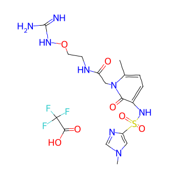 Cc1ccc(NS(=O)(=O)c2cn(C)cn2)c(=O)n1CC(=O)NCCONC(=N)N.O=C(O)C(F)(F)F